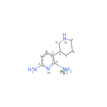 Cl.Nc1ccc(C2CCCNC2)c(N)n1